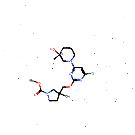 CC(C)(C)OC(=O)N1CCC(C#N)(COc2nc(Cl)cc(N3CCC[C@@](C)(O)C3)n2)C1